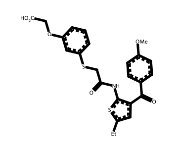 CCc1cc(C(=O)c2ccc(OC)cc2)c(NC(=O)CSc2cccc(OCC(=O)O)c2)s1